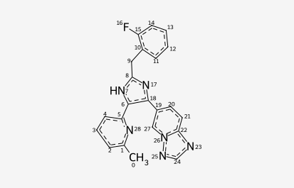 Cc1cccc(-c2[nH]c(Cc3ccccc3F)nc2-c2ccc3ncnn3c2)n1